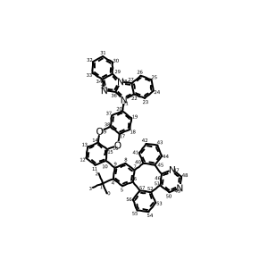 CC(C)(C)c1cc2c(cc1-c1cccc3c1Oc1ccc(-n4c5ccccc5n5c6ccccc6nc45)cc1O3)-c1ccccc1-c1ncncc1-c1ccccc1-2